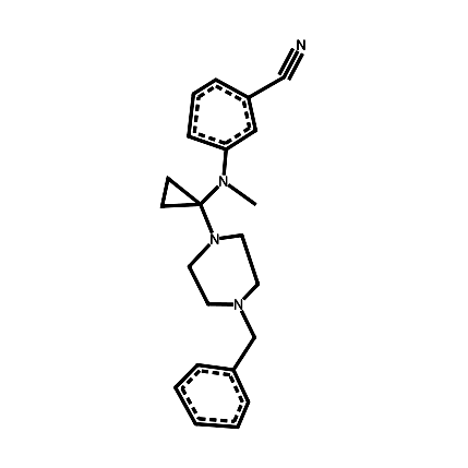 CN(c1cccc(C#N)c1)C1(N2CCN(Cc3ccccc3)CC2)CC1